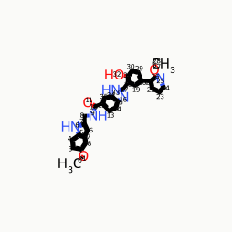 COc1ccc2[nH]c(CNC(=O)c3ccc4nc(-c5cc(-c6cccnc6OC)ccc5O)[nH]c4c3)cc2c1